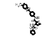 Cc1ccc2nc(-c3ccc(NC(=O)c4sccc4NS(=O)(=O)c4ccccc4)cc3)sc2c1